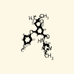 [C-]#[N+]c1ccc(Oc2cc(C(=O)Nc3cnn(C)n3)cc3c2CC(C)(C)O3)cc1